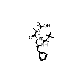 C[C@@H](NC(=O)O)C(=O)NC[C@H](Cc1ccccc1)NC(=O)OC(C)(C)C